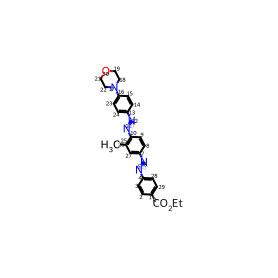 CCOC(=O)c1ccc(/N=N/c2ccc(/N=N/c3ccc(N4CCOCC4)cc3)c(C)c2)cc1